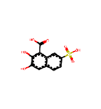 O=C(O)c1c(O)c(O)cc2ccc(S(=O)(=O)O)cc12